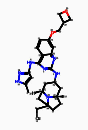 Cc1cc(Nc2nc(N[C@H]3C[C@@H]4CCC5(CC#N)C[C@H](C3)N45)nc3cc(OCC4COC4)ccc23)n[nH]1